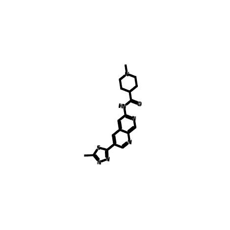 Cc1nnc(-c2cnc3cnc(NC(=O)C4CCN(C)CC4)cc3c2)s1